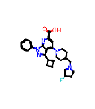 O=C(O)c1cc(N2CCC(CN3CC[C@@H](F)C3)CC2)c2c(C3CCC3)nn(-c3ccccc3)c2n1